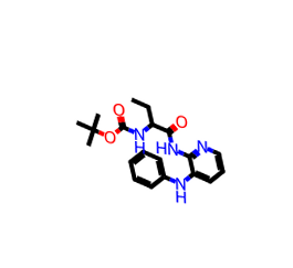 CCC(NC(=O)OC(C)(C)C)C(=O)Nc1ncccc1Nc1ccccc1